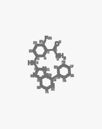 NC(=O)c1cc(Nc2nc3ccnc(-c4ccccc4)n3n2)ccc1F